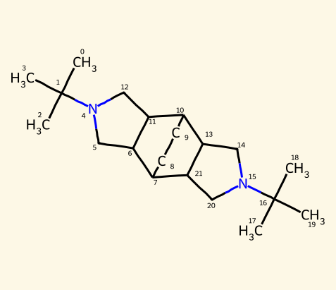 CC(C)(C)N1CC2C3CCC(C2C1)C1CN(C(C)(C)C)CC31